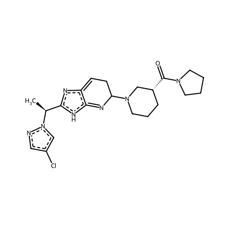 C[C@@H](c1nc2c([nH]1)=NC(N1CCC[C@@H](C(=O)N3CCCC3)C1)CC=2)n1cc(Cl)cn1